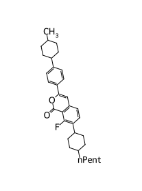 CCCCCC1CCC(c2ccc3cc(-c4ccc(C5CCC(C)CC5)cc4)oc(=O)c3c2F)CC1